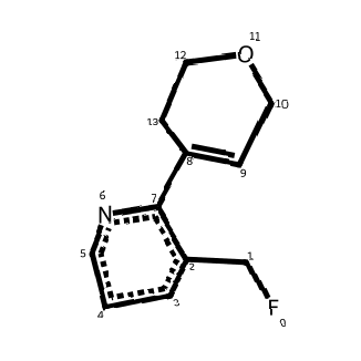 FCc1cccnc1C1=CCOCC1